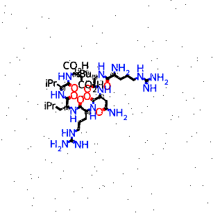 CC[C@H](C)[C@H](NC(=O)[C@@H](N)CCCNC(=N)N)C(=O)N[C@@H](CC(N)=O)C(=O)N[C@@H](CCCNC(=N)N)C(=O)N[C@@H](CC(C)C)C(=O)N[C@H](C(=O)N[C@@H](CC(=O)O)C(=O)O)C(C)C